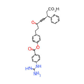 N=C(N)Nc1ccc(C(=O)Oc2ccc(CCC(=O)C#C[C@@H](CC(=O)O)c3ccccc3)cc2)cc1